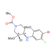 CC[C@@]1(OC)CN(C(=O)OC(C)(C)C)CC[C@H]1Nc1cc(F)c(Br)cc1OC